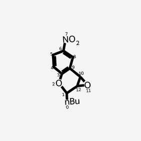 CCCCC1Oc2ccc([N+](=O)[O-])cc2C2OC12